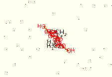 C=CC(=O)OCC(CC)(COCCC(=O)OCC(CC)(COC(=O)C=C)COC(=O)CCSCCO)COC(=O)CCOCC(CC)(COC(=O)C=C)COC(=O)CCSCCO